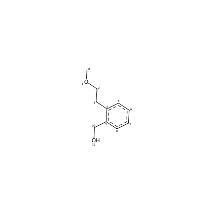 COCCc1ccccc1CO